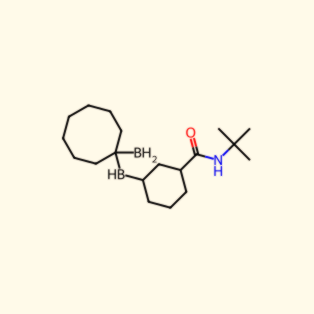 BC1(BC2CCCC(C(=O)NC(C)(C)C)C2)CCCCCCC1